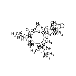 CC[C@H]1OC(=O)[C@H](C)[C@@H](O[C@H]2C[C@@](C)(OC)[C@@](O)(CN(C)CCN3CCC[C@H]3C)[C@H](C)O2)[C@H](C)[C@@H](O[C@@H]2O[C@H](C)C[C@H](N(C)C)[C@H]2O)[C@@](C)(OC)C[C@@H](C)C(=NO)[C@H](C)[C@H]2N(CCNS(C)(=O)=O)C(=O)O[C@]12C